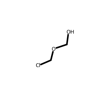 OCOCCl